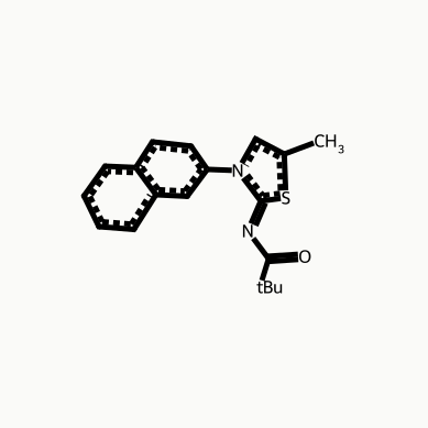 Cc1cn(-c2ccc3ccccc3c2)c(=NC(=O)C(C)(C)C)s1